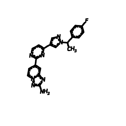 CC(c1ccc(F)cc1)n1cc(-c2ccnc(-c3ccn4nc(N)nc4c3)n2)cn1